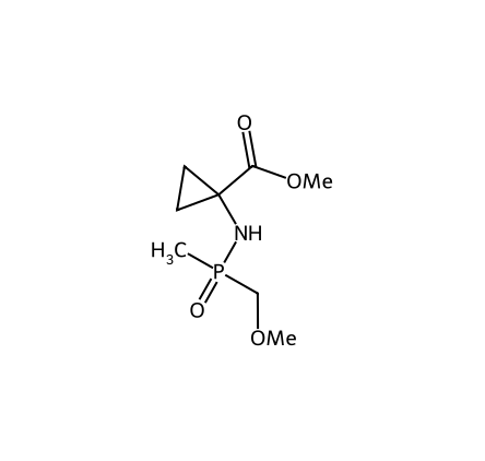 COCP(C)(=O)NC1(C(=O)OC)CC1